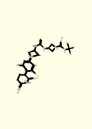 C=C(NC1CN(c2cc(F)c(C3CCC(=O)NC3=O)c(F)c2)C1)OC1CN(C(=O)OC(C)(C)C)C1